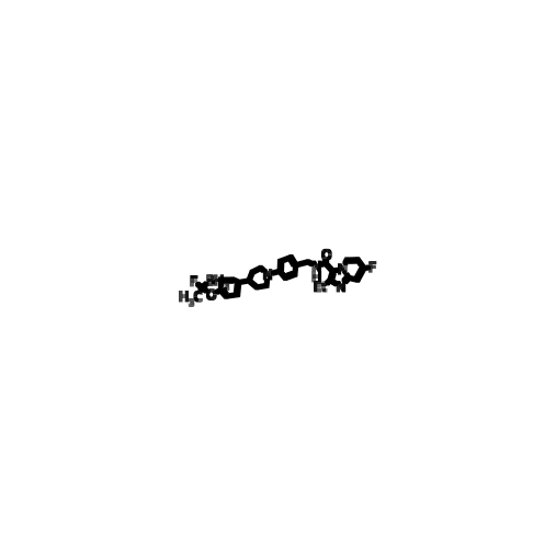 BC(C)(F)Oc1ccc(C2CCN(c3ccc(CNC(=O)c4c(CC)nc5cc(F)ccn45)cc3)CC2)cc1